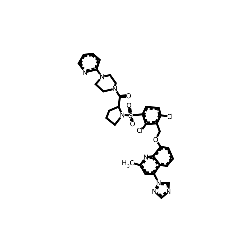 Cc1cc(-n2cncn2)c2cccc(OCc3c(Cl)ccc(S(=O)(=O)N4CCCC4C(=O)N4CCN(c5ccccn5)CC4)c3Cl)c2n1